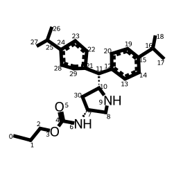 CCCOC(=O)N[C@H]1CN[C@@H](C(c2ccc(C(C)C)cc2)c2ccc(C(C)C)cc2)C1